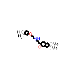 COc1cc2c(cc1OC)CC(=O)C(CCCNCCCOc1ccc(C)c(C)c1)CC2